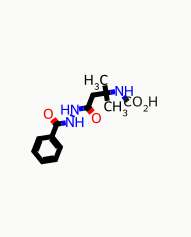 CC(C)(CC(=O)NNC(=O)c1ccccc1)NC(=O)O